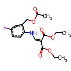 CCOC(=O)C(=CNc1ccc(I)cc1COC(C)=O)C(=O)OCC